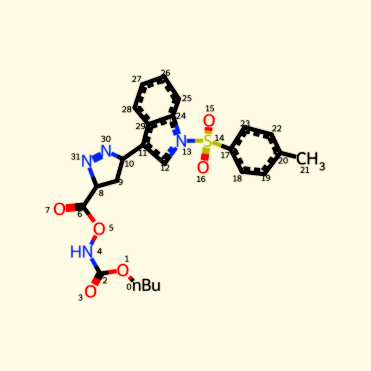 CCCCOC(=O)NOC(=O)C1CC(c2cn(S(=O)(=O)c3ccc(C)cc3)c3ccccc23)N=N1